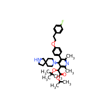 Cc1nc(C)c(C(OC(C)(C)C)C(=O)OC(C)C)c(N2CCC3(CCNC3)CC2)c1-c1ccc(OCCc2ccc(F)cc2)cc1